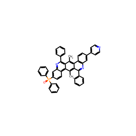 Cc1c2c(-c3ccccc3)nc3cc(P(=O)(c4ccccc4)c4ccccc4)ccc3c2c(C)c2c(-c3ccccc3)nc3cc(-c4ccncc4)ccc3c12